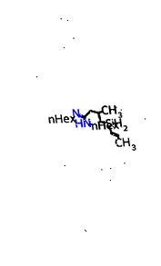 CC=C[SiH2]CC(C)CC(=NCCCCCC)NCCCCCC